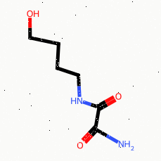 NC(=O)C(=O)NCCCCO